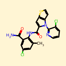 Cc1cc(Cl)cc(C(N)=O)c1NC(=O)c1cc2sccc2n1-c1ncccc1Cl